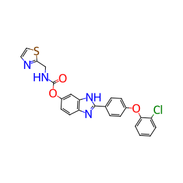 O=C(NCc1nccs1)Oc1ccc2nc(-c3ccc(Oc4ccccc4Cl)cc3)[nH]c2c1